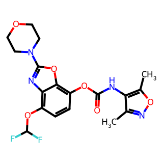 Cc1noc(C)c1NC(=O)Oc1ccc(OC(F)F)c2nc(N3CCOCC3)oc12